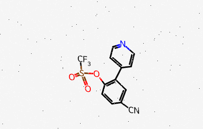 N#Cc1ccc(OS(=O)(=O)C(F)(F)F)c(-c2ccncc2)c1